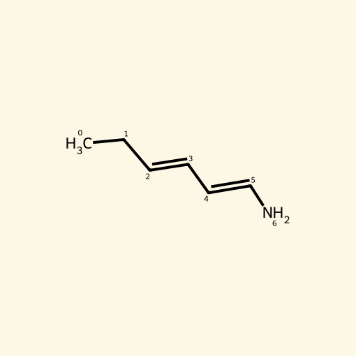 CCC=CC=CN